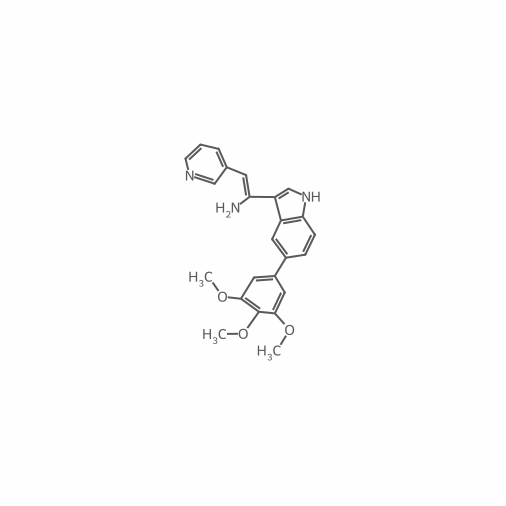 COc1cc(-c2ccc3[nH]cc(/C(N)=C/c4cccnc4)c3c2)cc(OC)c1OC